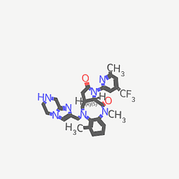 Cc1cc(C(F)(F)F)cc(N2C(=O)C[C@@H]3CN(Cc4cn5c(n4)CNCC5)c4c(C)cccc4N(C)C(=O)[C@H]32)n1